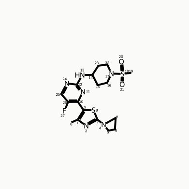 Cc1nc(N2CCC2)sc1-c1nc(NC2CCN(S(C)(=O)=O)CC2)ncc1F